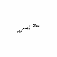 CCC[CH2][Sn][CH2]OC